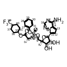 C[C@@H](N[P@@](=O)(OC[C@@]1(C)O[C@@H](c2ccc3c(N)ncnn23)[C@H](O)[C@@H]1O)Oc1ccccc1)C(=O)O[C@H]1CC[C@H](C(F)(F)F)CC1